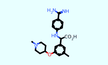 Cc1cc(OC2CCN(C)CC2)cc(C(Nc2ccc(C(=N)N)cc2)C(=O)O)c1